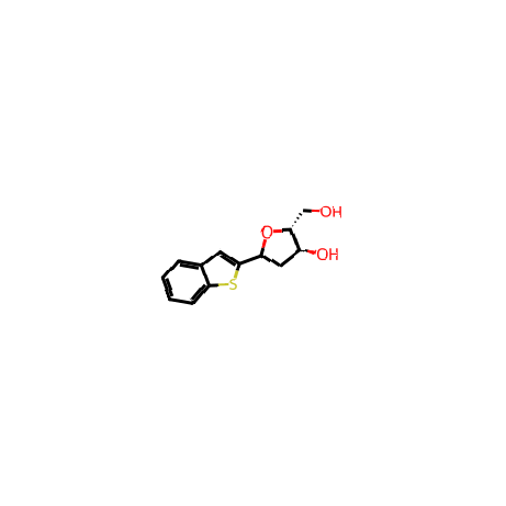 OC[C@H]1OC(c2cc3ccccc3s2)C[C@@H]1O